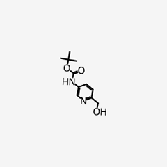 CC(C)(C)OC(=O)Nc1ccc(CO)nc1